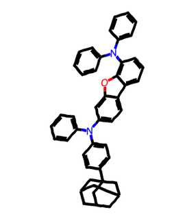 c1ccc(N(c2ccc(C34CC5CC(CC(C5)C3)C4)cc2)c2ccc3c(c2)oc2c(N(c4ccccc4)c4ccccc4)cccc23)cc1